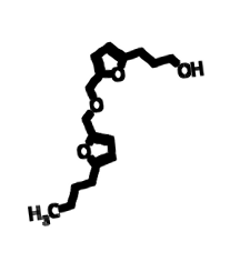 CCCCc1ccc(COCc2ccc(CCCO)o2)o1